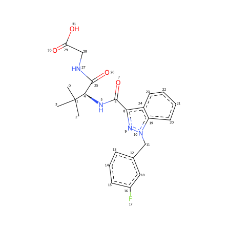 CC(C)(C)[C@H](NC(=O)c1nn(Cc2cccc(F)c2)c2ccccc12)C(=O)NCC(=O)O